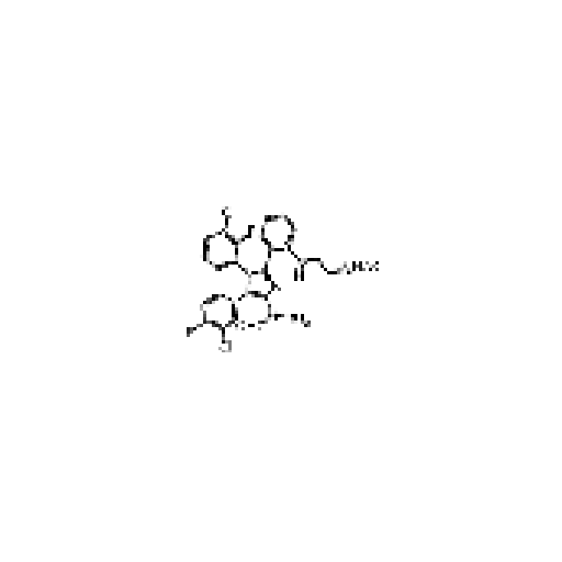 CC(=O)NCCNc1ccccc1-c1nc(N(N)C=O)c(-c2ccc(F)c(Cl)c2)n1-c1cccc(Cl)c1F